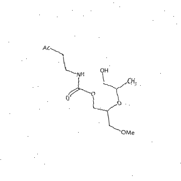 COCC(COC(=O)NCCC(C)=O)OC(C)CO